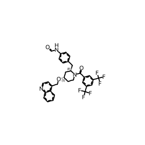 O=CNc1ccc(C[C@@H]2C[C@@H](OCc3ccnc4ccccc34)CCN2C(=O)c2cc(C(F)(F)F)cc(C(F)(F)F)c2)cc1